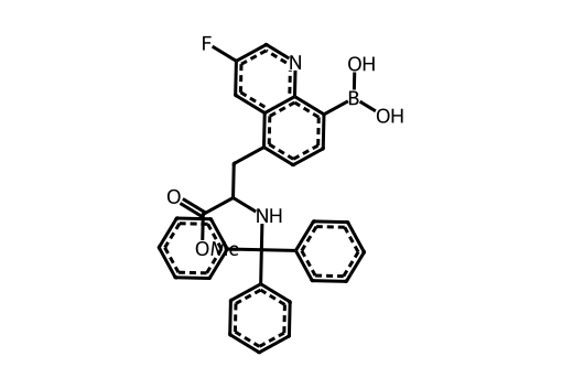 COC(=O)C(Cc1ccc(B(O)O)c2ncc(F)cc12)NC(c1ccccc1)(c1ccccc1)c1ccccc1